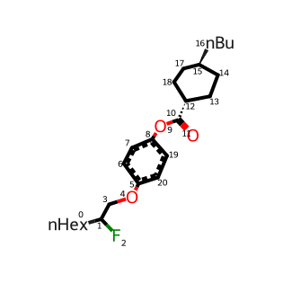 CCCCCCC(F)COc1ccc(OC(=O)[C@H]2CC[C@H](CCCC)CC2)cc1